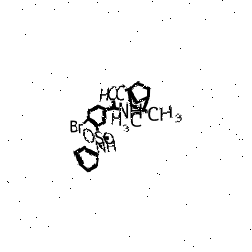 CC12CCC(C1)C(C)(C)C2NC(=O)c1ccc(Br)c(S(=O)(=O)Nc2ccccc2)c1